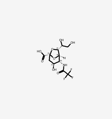 O=C(N[C@H]1[C@H]2O[C@@](C(=O)O)(C[C@@H]1O)O[C@@H]2C(O)CO)C(F)(F)F